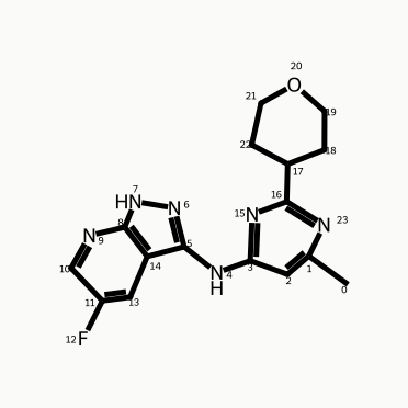 Cc1cc(Nc2n[nH]c3ncc(F)cc23)nc(C2CCOCC2)n1